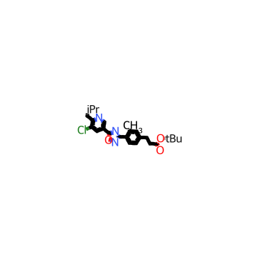 Cc1cc(CCC(=O)OC(C)(C)C)ccc1-c1noc(-c2cnc(CC(C)C)c(Cl)c2)n1